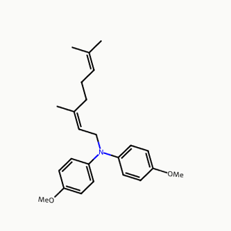 COc1ccc(N(CC=C(C)CCC=C(C)C)c2ccc(OC)cc2)cc1